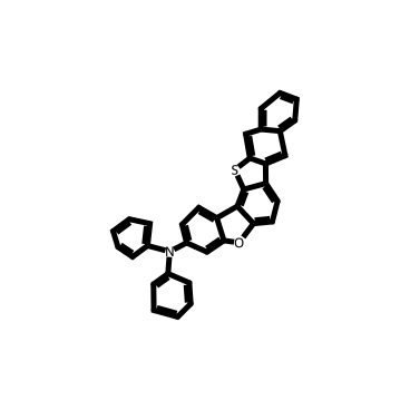 c1ccc(N(c2ccccc2)c2ccc3c(c2)oc2ccc4c5cc6ccccc6cc5sc4c23)cc1